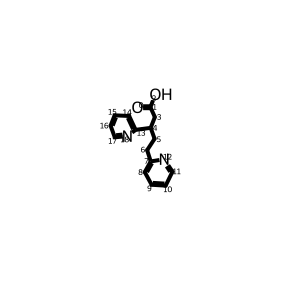 O=C(O)CC(CCc1ccccn1)c1ccccn1